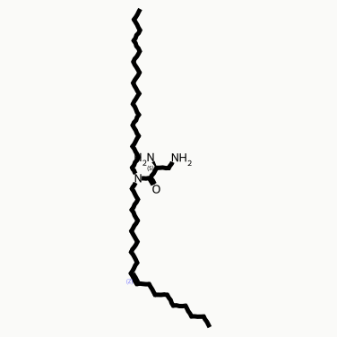 CCCCCCCC/C=C\CCCCCCCCN(CCCCCCCCCCCCCCCC)C(=O)[C@@H](N)CN